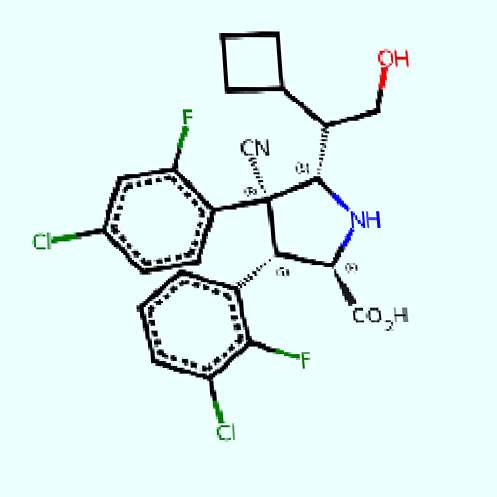 N#C[C@]1(c2ccc(Cl)cc2F)[C@H](C(CO)C2CCC2)N[C@@H](C(=O)O)[C@@H]1c1cccc(Cl)c1F